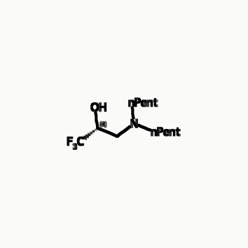 CCCCCN(CCCCC)C[C@@H](O)C(F)(F)F